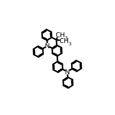 CC1(C)c2ccccc2N(c2ccccc2)c2cc(-c3cccc(N(c4ccccc4)c4ccccc4)c3)ccc21